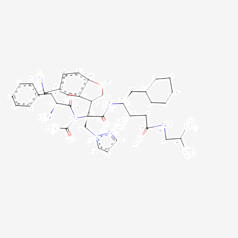 CC(=O)N(C(=O)[C@@H](N)Cc1ccccc1)[C@@](Cn1cccn1)(C(=O)N[C@@H](CC1CCCCC1)[C@@H](O)CC(=O)NCC(C)C)C1COc2ccc(CN)cc21